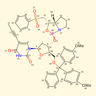 CC#Cc1cn([C@H]2C[C@H](O[P@@]3O[C@H](CS(=O)(=O)c4ccccc4)[C@@H]4CCCN43)[C@@H](COC(c3ccccc3)(c3ccc(OC)cc3)c3ccc(OC)cc3)O2)c(=O)[nH]c1=O